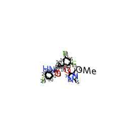 COCc1nc(C)ncc1OC[C@@]1(C2C=C(F)C=C(F)C2)C[C@H]1C(=O)Nc1ccc(F)cc1